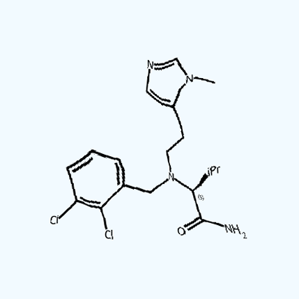 CC(C)[C@@H](C(N)=O)N(CCc1cncn1C)Cc1cccc(Cl)c1Cl